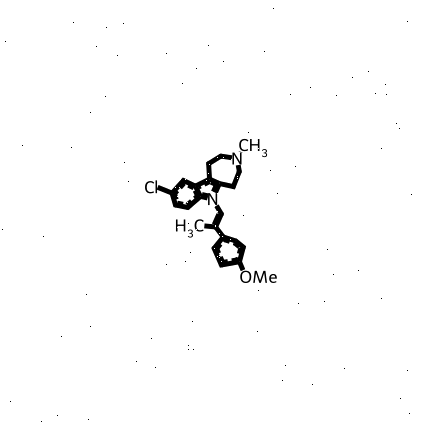 COc1ccc(/C(C)=C/n2c3c(c4cc(Cl)ccc42)CCN(C)CC3)cc1